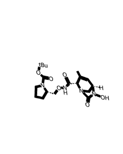 CC1=C[C@@H]2CN(C(=O)N2O)[C@@H]1C(=O)NOC[C@@H]1CCCN1C(=O)OC(C)(C)C